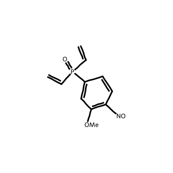 C=CP(=O)(C=C)c1ccc(N=O)c(OC)c1